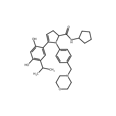 CC(C)c1cc(C2=CCC(C(=O)NC3CCCC3)N2c2ccc(CN3CCOCC3)cc2)c(O)cc1O